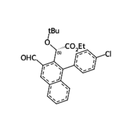 CCOC(=O)[C@@H](OC(C)(C)C)c1c(C=O)cc2ccccc2c1-c1ccc(Cl)cc1